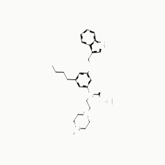 CCCCc1cc(OCc2c[nH]c3ccccc23)cc(N(CCN2CCN(C)CC2)C(=O)O)c1